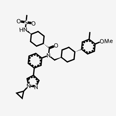 COc1ccc([C@H]2CC[C@H](CN(c3cccc(-c4cnn(C5CC5)c4)c3)C(=O)[C@H]3CC[C@H](NS(C)(=O)=O)CC3)CC2)cc1C